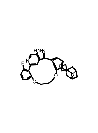 Fc1cccc2c1-c1cc3c(n[nH]c3cn1)-c1ccc(N3CC4CC(C3)N4C3COC3)c(c1)OCCCO2